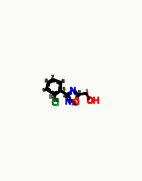 OCc1nc(-c2ccccc2Cl)no1